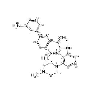 C=C(c1nc2c(N3CCN(C)CC3)cncc2[nH]1)c1cc(-c2cncc(N)c2)ccc1NC